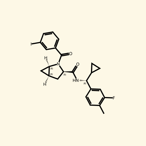 Cc1ccc([C@H](NC(=O)[C@H]2C[C@H]3C[C@H]3N2C(=O)c2cccc(I)c2)C2CC2)cc1F